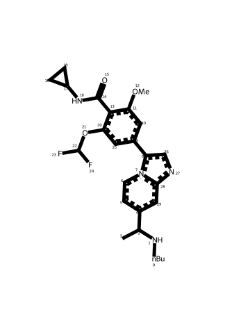 CCCCNC(C)c1ccn2c(-c3cc(OC)c(C(=O)NC4CC4)c(OC(F)F)c3)cnc2c1